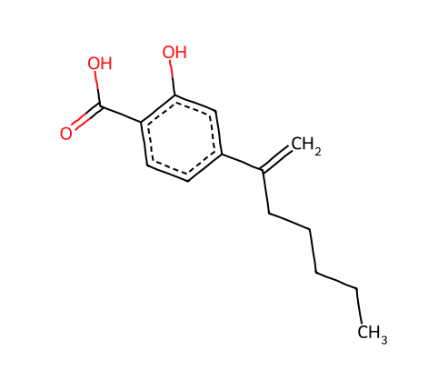 C=C(CCCCC)c1ccc(C(=O)O)c(O)c1